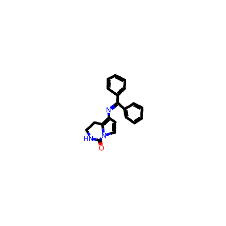 O=C1NCCc2c(N=C(c3ccccc3)c3ccccc3)ccn21